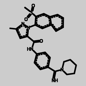 Cc1cc(C(=O)Nc2ccc(C(=N)N3CCCCC3)cc2)n(-c2cc3ccccc3cc2S(C)(=O)=O)n1